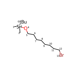 CC(C)(C)[Si](C)(C)OCCCCCCCCBr